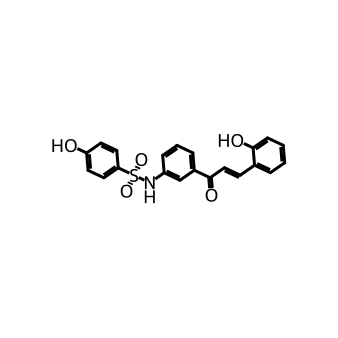 O=C(C=Cc1ccccc1O)c1cccc(NS(=O)(=O)c2ccc(O)cc2)c1